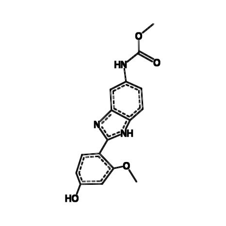 COC(=O)Nc1ccc2[nH]c(-c3ccc(O)cc3OC)nc2c1